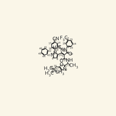 CC(NC(=O)c1c(-c2ccnn2-c2ccc(C#N)cc2)n(C)n(-c2cccc(C(F)(F)F)c2)c1=O)c1ncc(C[N+](C)(C)C)o1.c1ccccc1